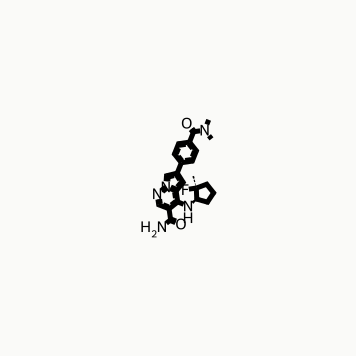 CN(C)C(=O)c1ccc(-c2cc3c(N[C@@H]4CCC[C@]4(C)F)c(C(N)=O)cnn3c2)cc1